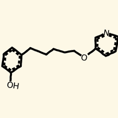 Oc1cccc(CCCCCOc2cccnc2)c1